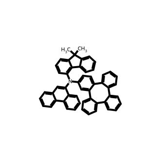 CC1(C)c2ccccc2-c2c(N(c3ccc4c(c3)-c3ccccc3-c3ccccc3-c3ccccc3-4)c3cc4ccccc4c4ccccc34)cccc21